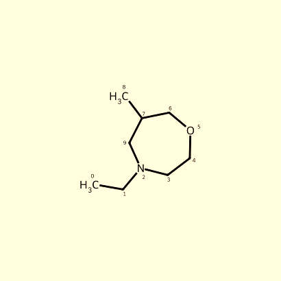 CCN1CCOCC(C)C1